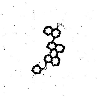 Cc1ccc(-c2ccc3c4ccc(Oc5ccccc5)c5cccc(c6cccc2c63)c54)c2ccccc12